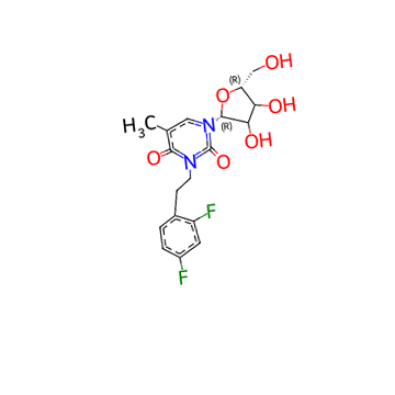 Cc1cn([C@@H]2O[C@H](CO)C(O)C2O)c(=O)n(CCc2ccc(F)cc2F)c1=O